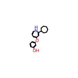 Oc1cccc(OC2=CC=CNC([C]3CCCCCC3)=C2)c1